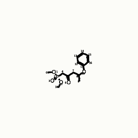 COP(=O)(CC(=O)CC(C)Oc1ccccc1)OC